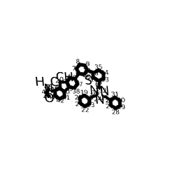 CC1(C)c2cc(-c3cccc4c3sc3c(-c5nc(-c6ccccc6)nc(-c6ccccc6)n5)cccc34)ccc2-c2ccc3ocnc3c21